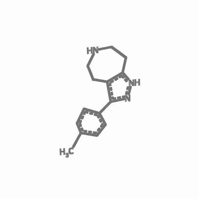 Cc1ccc(-c2n[nH]c3c2CCNCC3)cc1